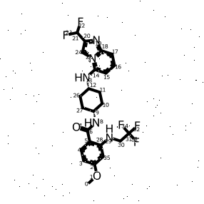 COc1ccc(C(=O)N[C@H]2CC[C@@H](Nc3cccc4nc(C(F)F)cn34)CC2)c(NCC(F)(F)F)c1